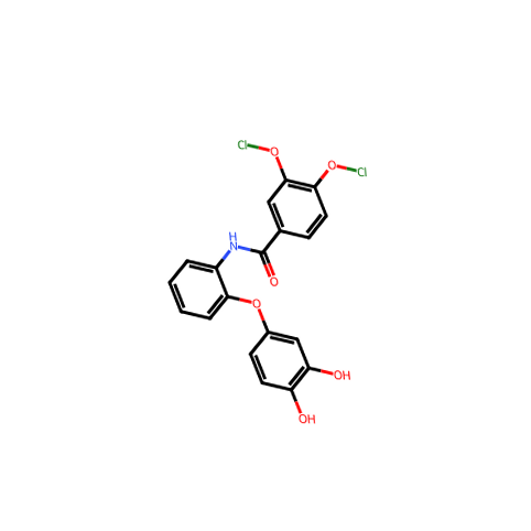 O=C(Nc1ccccc1Oc1ccc(O)c(O)c1)c1ccc(OCl)c(OCl)c1